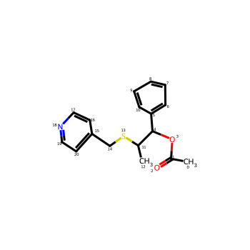 CC(=O)OC(c1ccccc1)C(C)SCc1ccncc1